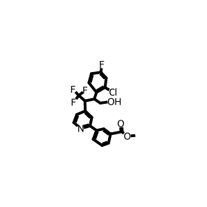 COC(=O)c1cccc(-c2cc(C(C(CO)c3ccc(F)cc3Cl)C(F)(F)F)ccn2)c1